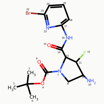 CC(C)(C)OC(=O)N1CC(N)C(F)C1C(=O)Nc1cccc(Br)n1